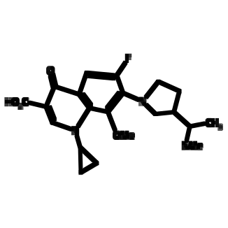 CNC(C)C1CCN(c2c(F)cc3c(=O)c(C(=O)O)cn(C4CC4)c3c2OC)C1